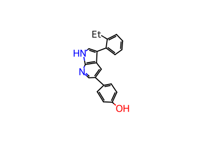 CCc1ccccc1-c1c[nH]c2ncc(-c3ccc(O)cc3)cc12